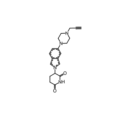 C#CCN1CCN(c2ccc3cn(C4CCC(=O)NC4=O)cc3c2)CC1